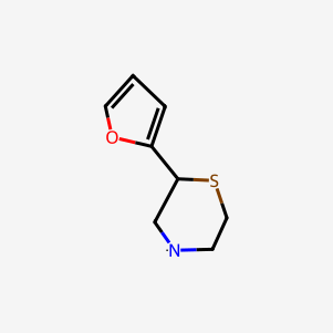 c1coc(C2C[N]CCS2)c1